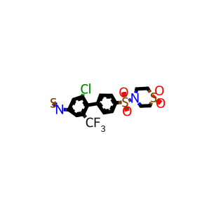 O=S1(=O)CCN(S(=O)(=O)c2ccc(-c3c(Cl)cc(N=S)cc3C(F)(F)F)cc2)CC1